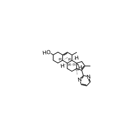 CC1=C(c2ncccn2)[C@@]2(C)CC[C@@H]3[C@@H](C(C)C=C4CC(O)CC[C@@]43C)[C@@H]2C1